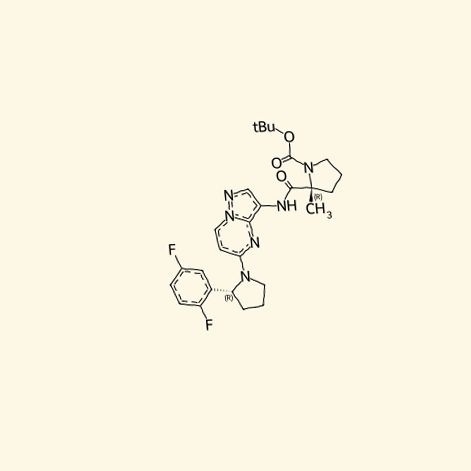 CC(C)(C)OC(=O)N1CCC[C@]1(C)C(=O)Nc1cnn2ccc(N3CCC[C@@H]3c3cc(F)ccc3F)nc12